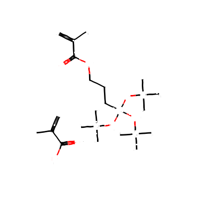 C=C(C)C(=O)O.C=C(C)C(=O)OCCC[Si](O[Si](C)(C)C)(O[Si](C)(C)C)O[Si](C)(C)C